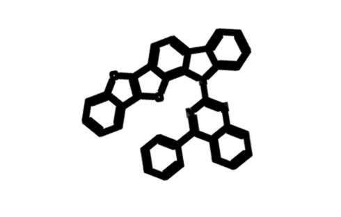 c1ccc(-c2nc(-n3c4ccccc4c4ccc5c6oc7ccccc7c6oc5c43)nc3ccccc23)cc1